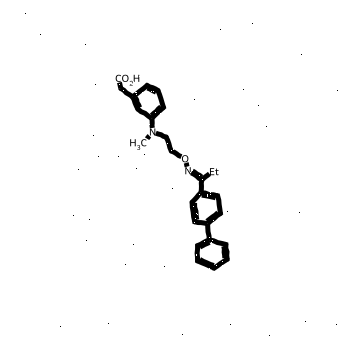 CC/C(=N\OCCN(C)c1cccc(CC(=O)O)c1)c1ccc(-c2ccccc2)cc1